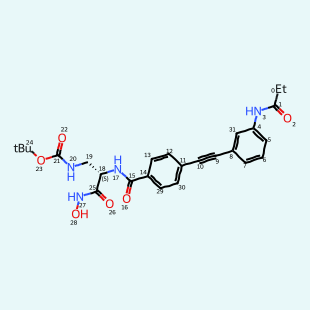 CCC(=O)Nc1cccc(C#Cc2ccc(C(=O)N[C@@H](CNC(=O)OC(C)(C)C)C(=O)NO)cc2)c1